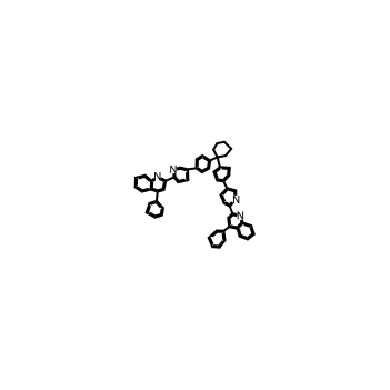 c1ccc(-c2cc(-c3ccc(-c4ccc(C5(c6ccc(-c7ccc(-c8cc(-c9ccccc9)c9ccccc9n8)nc7)cc6)CCCCC5)cc4)cn3)nc3ccccc23)cc1